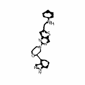 c1ccc(NCc2cc3nc(N4CCOC(c5cccc6[nH]ncc56)C4)ncc3s2)cc1